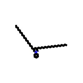 CCCCCCCCCCCCCCCCCCc1cc(CCCCCCCCCCCCCCCCCC)c[n+](-c2ccccc2)c1